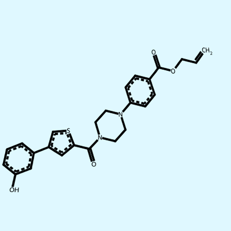 C=CCOC(=O)c1ccc(N2CCN(C(=O)c3cc(-c4cccc(O)c4)cs3)CC2)cc1